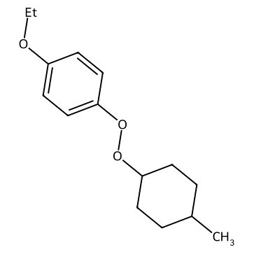 CCOc1ccc(OOC2CCC(C)CC2)cc1